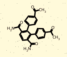 CC(=O)c1ccc(-c2c(C(N)=O)ccc(C(N)=O)c2-c2ccc(C(C)=O)cc2)cc1